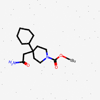 CC(C)(C)OC(=O)N1CCC(CC(N)=O)(C2CCCCC2)CC1